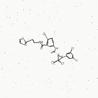 O=C(NCCc1nccs1)c1cc(NC(=O)[C@@H]2[C@@H](c3cc(Cl)cc(Cl)c3)C2(Cl)Cl)ccc1Cl